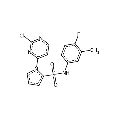 Cc1cc(NS(=O)(=O)c2cccn2-c2ccnc(Cl)n2)ccc1F